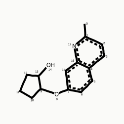 Cc1ccc2ccc(OC3CCCC3O)cc2n1